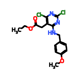 CCOC(=O)Cc1c(Cl)nc(Cl)nc1NCc1ccc(OC)cc1